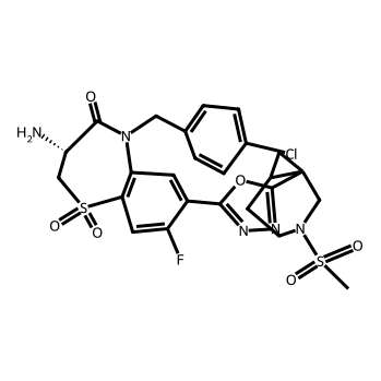 CS(=O)(=O)N1CCC2CC2(c2nnc(-c3cc4c(cc3F)S(=O)(=O)C[C@H](N)C(=O)N4Cc3ccc(Cl)cc3)o2)C1